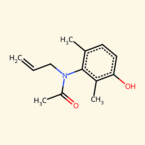 C=CCN(C(C)=O)c1c(C)ccc(O)c1C